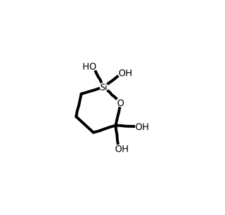 OC1(O)CCC[Si](O)(O)O1